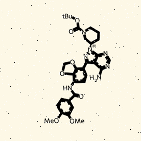 COc1ccc(C(=O)Nc2ccc(-c3nn([C@@H]4CCCN(C(=O)OC(C)(C)C)C4)c4ncnc(N)c34)c3c2OCO3)cc1OC